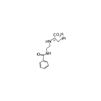 CC(C)C[C@H](NCCNC(=O)c1ccccc1)C(=O)O